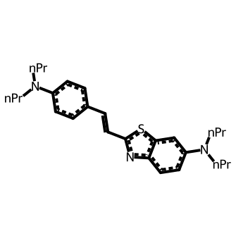 CCCN(CCC)c1ccc(C=Cc2nc3ccc(N(CCC)CCC)cc3s2)cc1